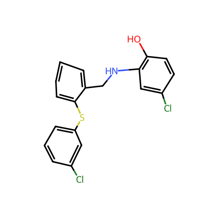 Oc1ccc(Cl)cc1NCc1ccccc1Sc1cccc(Cl)c1